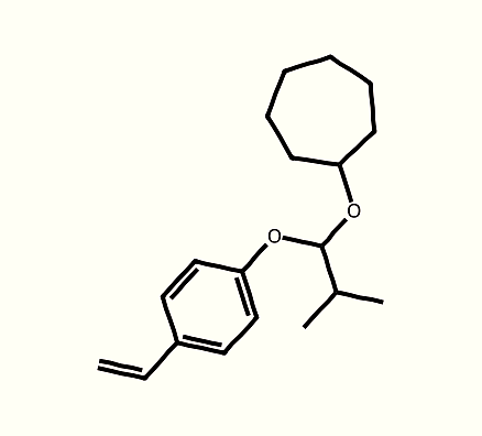 C=Cc1ccc(OC(OC2CCCCCC2)C(C)C)cc1